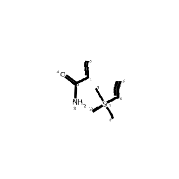 C=CC(N)=O.C=C[Si](C)(C)C